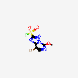 COc1ncc(Br)c2nc(S(=O)(=O)Cl)nn12